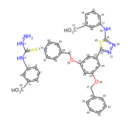 NNC(=S)Nc1cccc(C(=O)O)c1.O=C(O)c1cccc(Nc2nnc(-c3cc(OCc4ccccc4)cc(OCc4ccccc4)c3)s2)c1